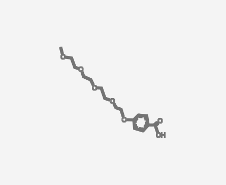 COCCOCCOCCOCCOc1ccc(C(=O)O)cc1